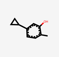 Cc1ccc(C2CC2)cc1O